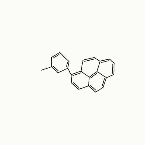 Cc1cccc(-c2ccc3ccc4cccc5ccc2c3c45)c1